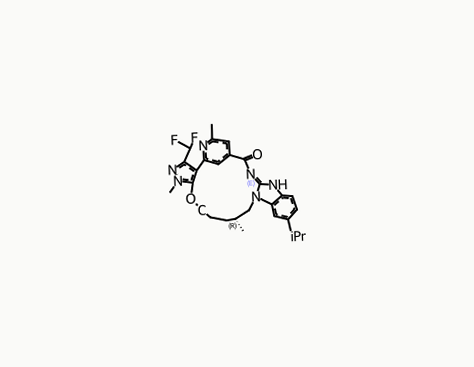 Cc1cc2cc(n1)-c1c(C(F)F)nn(C)c1OCCC[C@@H](C)CN1/C(=N/C2=O)Nc2ccc(C(C)C)cc21